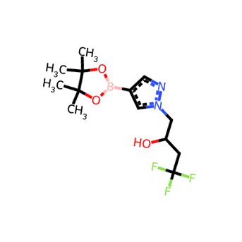 CC1(C)OB(c2cnn(CC(O)CC(F)(F)F)c2)OC1(C)C